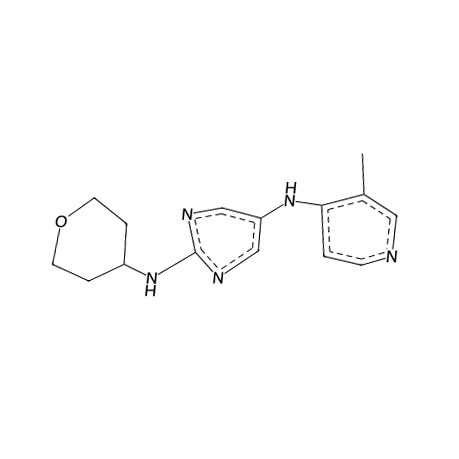 Cc1cnccc1Nc1cnc(NC2CCOCC2)nc1